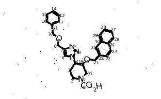 O=C(O)N1CCC(n2cc(COCc3ccccc3)nn2)C(OCc2ccc3ccccc3c2)C1